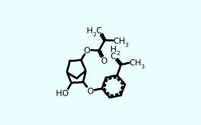 C=C(C)C(=O)OC1CC2CC1C(Oc1cccc(C(=C)C)c1)C2O